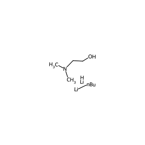 CN(C)CCO.[LiH].[Li][CH2]CCC